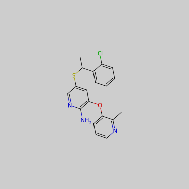 Cc1ncccc1Oc1cc(SC(C)c2ccccc2Cl)cnc1N